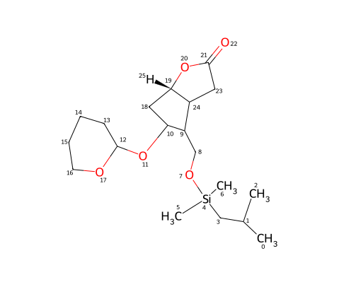 CC(C)C[Si](C)(C)OCC1C(OC2CCCCO2)C[C@@H]2OC(=O)CC12